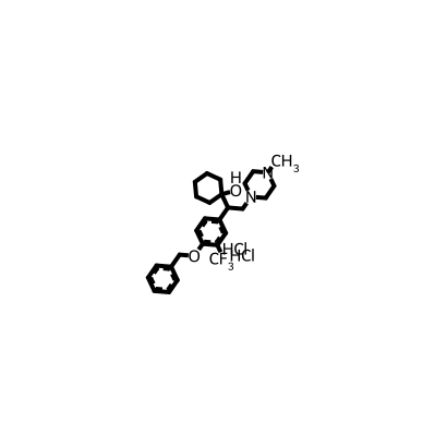 CN1CCN(CC(c2ccc(OCc3ccccc3)c(C(F)(F)F)c2)C2(O)CCCCC2)CC1.Cl.Cl